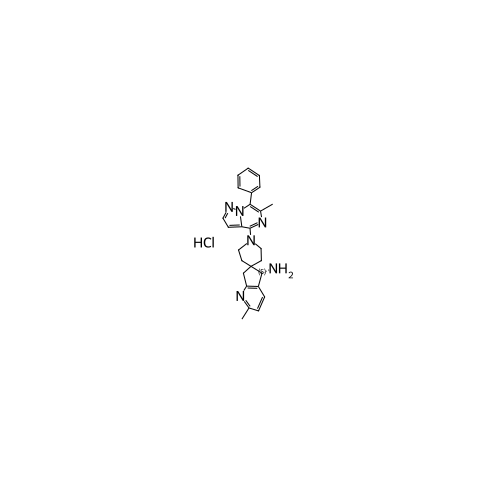 Cc1ccc2c(n1)CC1(CCN(c3nc(C)c(-c4ccccc4)n4nccc34)CC1)[C@@H]2N.Cl